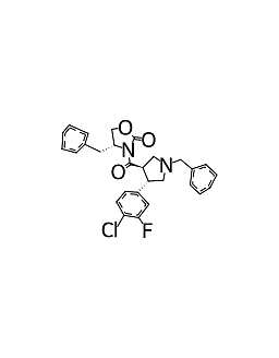 O=C1OC[C@@H](Cc2ccccc2)N1C(=O)[C@H]1CN(Cc2ccccc2)C[C@@H]1c1ccc(Cl)c(F)c1